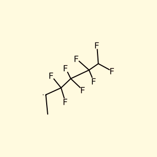 C[CH]C(F)(F)C(F)(F)C(F)(F)C(F)F